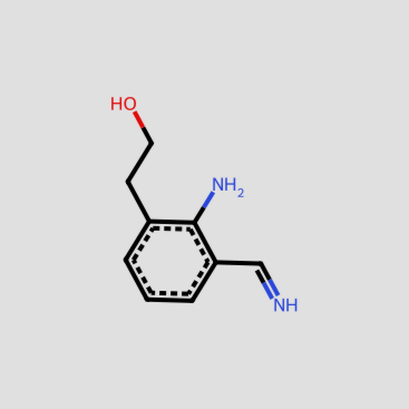 N=Cc1cccc(CCO)c1N